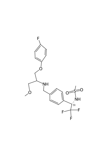 COCC(COc1ccc(F)cc1)NCc1ccc([C@H](NS(C)(=O)=O)C(F)(F)F)cc1